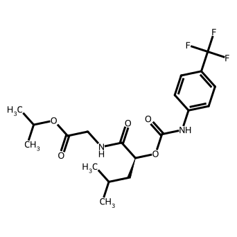 CC(C)C[C@H](OC(=O)Nc1ccc(C(F)(F)F)cc1)C(=O)NCC(=O)OC(C)C